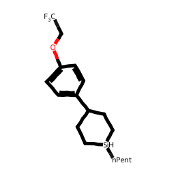 CCCCC[SiH]1CCC(c2ccc(OCC(F)(F)F)cc2)CC1